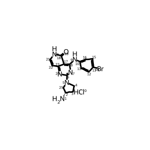 Cl.N[C@H]1CCN(c2nc(Nc3ccc(Br)cc3)c3c(=O)[nH]ccc3n2)C1